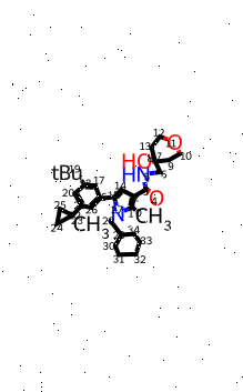 Cc1c(C(=O)NCC2(O)CCOCC2)cc(-c2cc(C(C)(C)C)cc(C3(C)CC3)c2)n1CC1CCCCC1